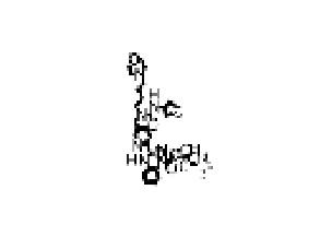 CC(C)(C)OC(=O)Nc1ccccc1NC(=O)c1ccc(CN(CCCCN2CCOCC2)C(=O)Nc2ccsc2)cn1